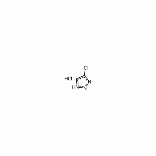 Cl.Clc1c[nH]nn1